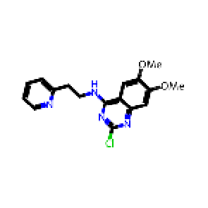 COc1cc2nc(Cl)nc(NCCc3ccccn3)c2cc1OC